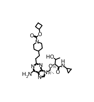 CC(O)[C@H](O[C@H](C)n1cnc2c(N)nc(CCC3CCN(C(=O)OC4CCC4)CC3)nc21)C(=O)NC1CC1